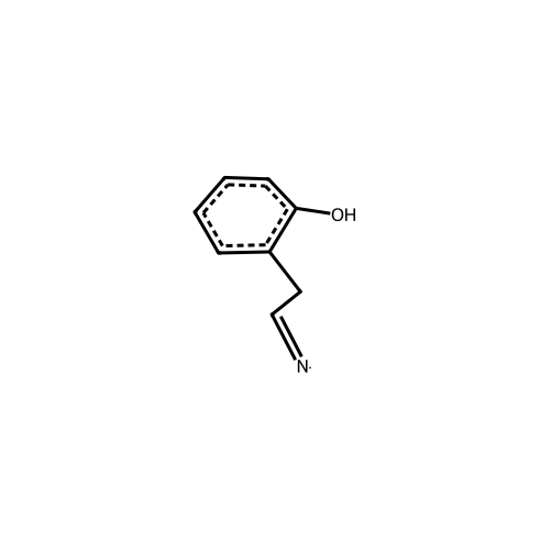 [N]=CCc1ccccc1O